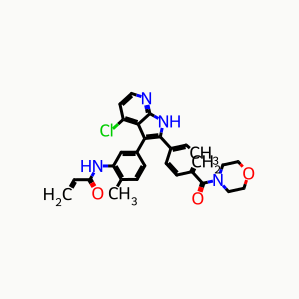 C=CC(=O)Nc1cc(-c2c(C(/C=C\C(=C)C(=O)N3CCOCC3)=C/C)[nH]c3nccc(Cl)c23)ccc1C